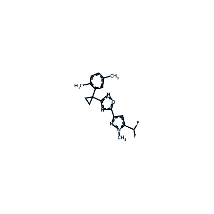 Cc1ccc(C)c(C2(c3noc(-c4cc(C(F)F)n(C)n4)n3)CC2)c1